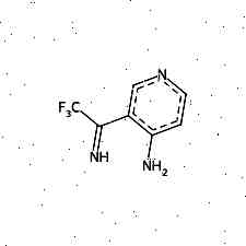 N=C(c1cnccc1N)C(F)(F)F